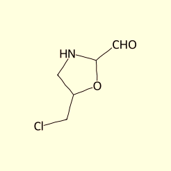 O=CC1NCC(CCl)O1